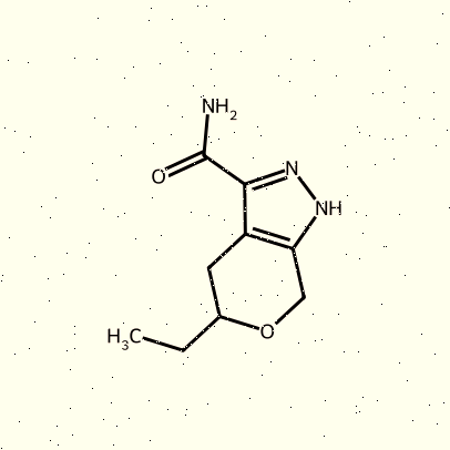 CCC1Cc2c(C(N)=O)n[nH]c2CO1